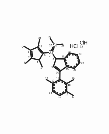 CC1=C(C)C(C)[C]([Zr]([CH]2C=C(c3c(C)ccc(C)c3C)c3ccccc32)=[Si](C)C)=C1C.Cl.Cl